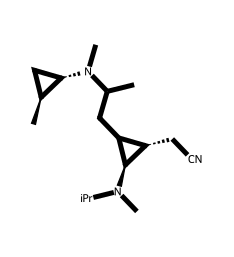 CC(CC1[C@H](CC#N)[C@H]1N(C)C(C)C)N(C)[C@H]1C[C@@H]1C